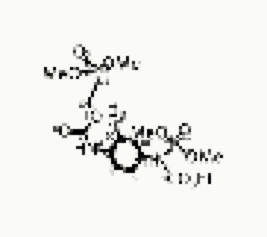 CCOC(=O)N(c1ccc(NC(=O)OCCP(=O)(OC)OC)c(C)c1)P(=O)(OC)OC